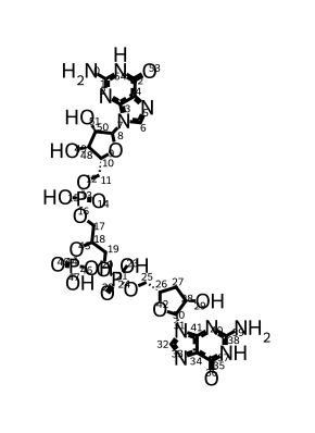 Nc1nc2c(ncn2C2O[C@H](COP(=O)(O)OCC(COP(=O)(O)OC[C@@H]3C[C@@H](O)[C@H](n4cnc5c(=O)[nH]c(N)nc54)O3)OP(=O)(O)O)[C@@H](O)[C@H]2O)c(=O)[nH]1